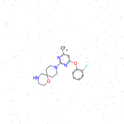 Fc1ccccc1Oc1cc(C(F)(F)F)nc(N2CCC3(CC2)CNCCO3)n1